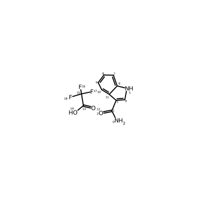 NC(=O)c1c[nH]c2ccccc12.O=C(O)C(F)(F)F